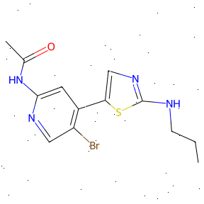 CCCNc1ncc(-c2cc(NC(C)=O)ncc2Br)s1